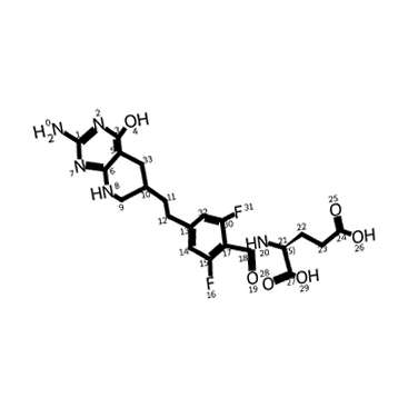 Nc1nc(O)c2c(n1)NCC(CCc1cc(F)c(C(=O)N[C@@H](CCC(=O)O)C(=O)O)c(F)c1)C2